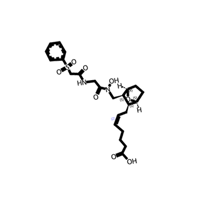 O=C(O)CCC/C=C\C[C@H]1[C@@H](CN(O)C(=O)CNC(=O)CS(=O)(=O)c2ccccc2)[C@H]2CC[C@@H]1O2